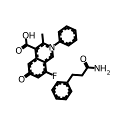 Cc1c(C(=O)O)c2cc(=O)cc(F)c-2cn1-c1ccccc1.NC(=O)CCc1ccccc1